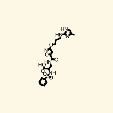 Cc1c[nH]c(NCCCOc2cc(C(=O)NCC(NS(=O)(=O)c3ccccc3)C(=O)O)on2)n1